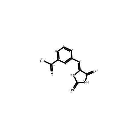 N=C1NC(=O)C(=Cc2cccc(C(=O)O)c2)S1